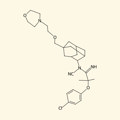 CC(C)(Oc1ccc(Cl)cc1)C(=N)N(C#N)C1C2CC3CC1CC(COCCN1CCOCC1)(C3)C2